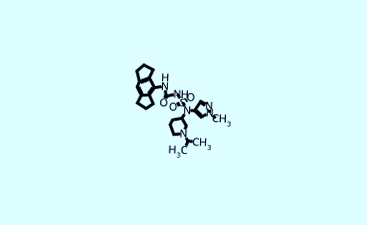 CC(C)N1CCCC(N(c2cnn(C)c2)S(=O)(=O)NC(=O)Nc2c3c(cc4c2CCC4)CCC3)C1